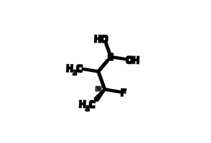 CC(B(O)O)[C@H](C)F